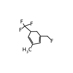 CC1=CC(C(F)(F)F)CC(CF)=C1